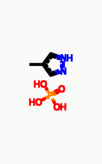 Cc1cn[nH]c1.O=P(O)(O)O